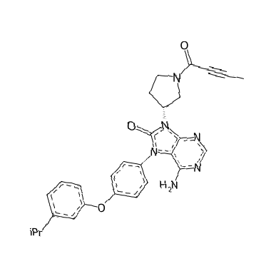 CC#CC(=O)N1CC[C@@H](n2c(=O)n(-c3ccc(Oc4cccc(C(C)C)c4)cc3)c3c(N)ncnc32)C1